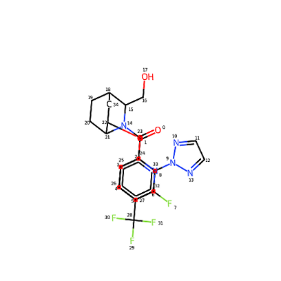 O=C(c1cccc(F)c1-n1nccn1)N1C(CO)C2CCC1C(Oc1ccc(C(F)(F)F)cn1)C2